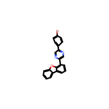 Brc1ccc(-c2cnc(-c3cccc4c3oc3ccccc34)cn2)cc1